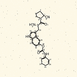 N#CC1CCCN1C(=O)[C@@H](N)Cc1c[nH]c2ccc(OC(=O)NC3=CCCC=C3)cc12